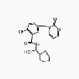 O=C(NC(O)C1CCCCC1)c1cc(Cn2cccnc2=O)ccc1Cl